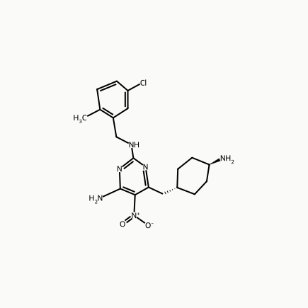 Cc1ccc(Cl)cc1CNc1nc(N)c([N+](=O)[O-])c(C[C@H]2CC[C@H](N)CC2)n1